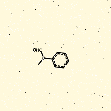 CB(C=O)c1ccccc1